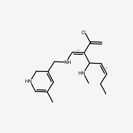 C=C(Cl)/C(=C/NCC1=CC(C)=CNC1)C(/C=C\CC)NC